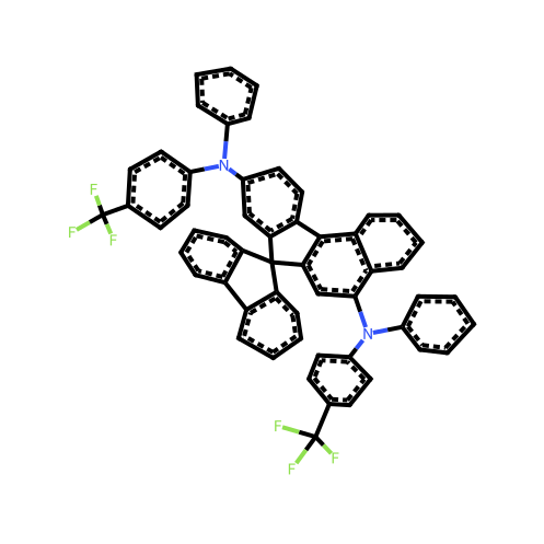 FC(F)(F)c1ccc(N(c2ccccc2)c2ccc3c(c2)C2(c4ccccc4-c4ccccc42)c2cc(N(c4ccccc4)c4ccc(C(F)(F)F)cc4)c4ccccc4c2-3)cc1